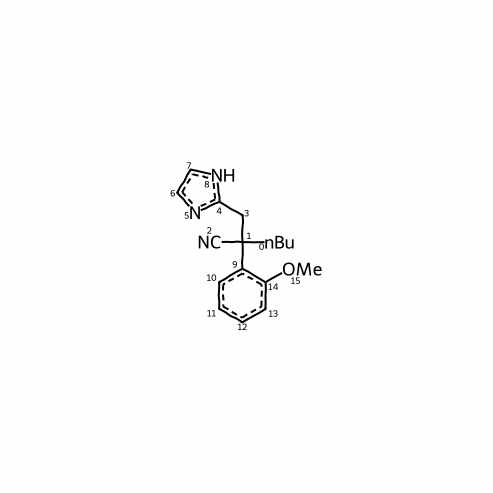 CCCCC(C#N)(Cc1ncc[nH]1)c1ccccc1OC